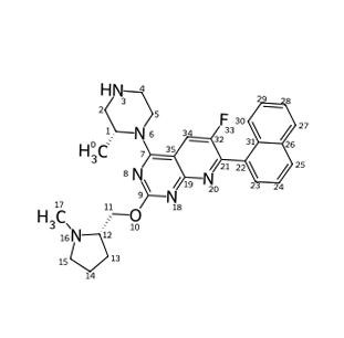 C[C@@H]1CNCCN1c1nc(OC[C@@H]2CCCN2C)nc2nc(-c3cccc4ccccc34)c(F)cc12